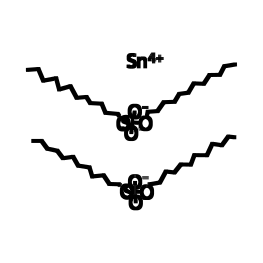 CCCCCCCCCCCCO[Si]([O-])([O-])OCCCCCCCCCCCC.CCCCCCCCCCCCO[Si]([O-])([O-])OCCCCCCCCCCCC.[Sn+4]